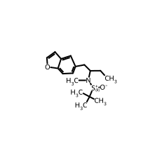 CCC(Cc1ccc2occc2c1)N(C)[S@@+]([O-])C(C)(C)C